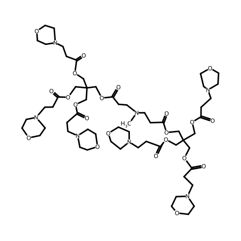 CN(CCC(=O)OCC(COC(=O)CCN1CCOCC1)(COC(=O)CCN1CCOCC1)COC(=O)CCN1CCOCC1)CCC(=O)OCC(COC(=O)CCN1CCOCC1)(COC(=O)CCN1CCOCC1)COC(=O)CCN1CCOCC1